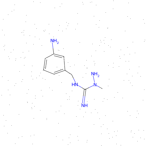 CN(N)C(=N)NCc1cccc(N)c1